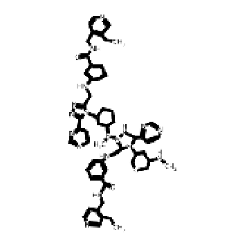 CCc1cnccc1CNC(=O)c1cccc(NCc2nnc(-c3ccncn3)n2C2CCCC(N(C)N3NC(c4ccncn4)N(C4COCC(NC)C4)C3CNc3cccc(C(=O)NCc4ccncc4CC)c3)C2)c1